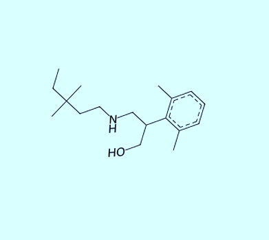 CCC(C)(C)CCNCC(CO)c1c(C)cccc1C